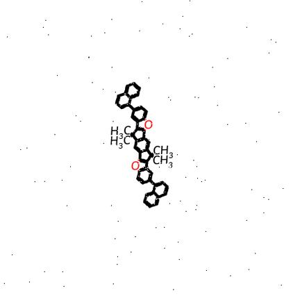 CC1(C)c2cc3c(cc2-c2oc4ccc(-c5cccc6ccccc56)cc4c21)C(C)(C)c1c-3oc2ccc(-c3cccc4ccccc34)cc12